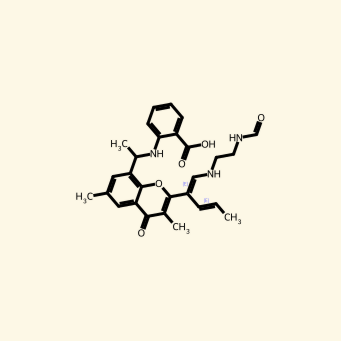 C/C=C/C(=C\NCCNC=O)c1oc2c(C(C)Nc3ccccc3C(=O)O)cc(C)cc2c(=O)c1C